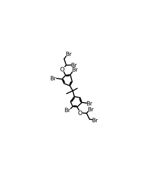 CC(C)(c1cc(Br)c(OC(Br)CBr)c(Br)c1)c1cc(Br)c(OC(Br)CBr)c(Br)c1